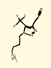 CCCCn1nnc(C#N)c1C(F)(F)F